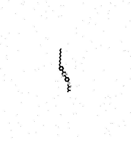 CCCCCCCCCCc1ccc(-c2cnc(-c3ccc(OCC(F)CC(C)C)cc3)nc2)cc1